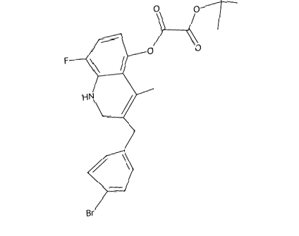 CC1=C(Cc2ccc(Br)cc2)CNc2c(F)ccc(OC(=O)C(=O)OC(C)(C)C)c21